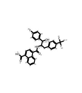 O=C(O)c1ccc(C(=O)NC(Cc2ccc(C(F)(F)F)cc2)C(O)c2ccc(F)cc2)c2ccccc12